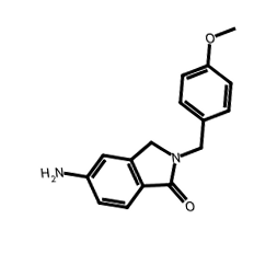 COc1ccc(CN2Cc3cc(N)ccc3C2=O)cc1